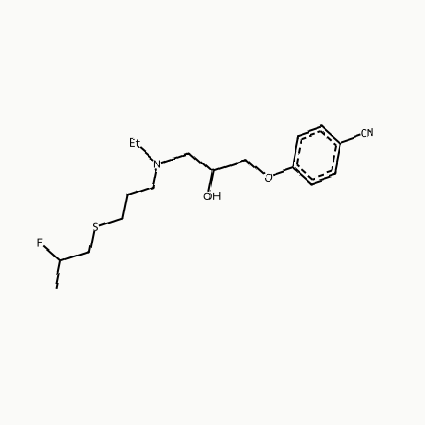 CCN(CCCSCC(C)F)CC(O)COc1ccc(C#N)cc1